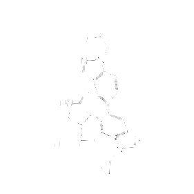 C[C@@H](Oc1nc(-c2ccc3c(cnn3CC(F)F)c2)cc2ncn(C3CC3)c12)C1CNC(=O)C1